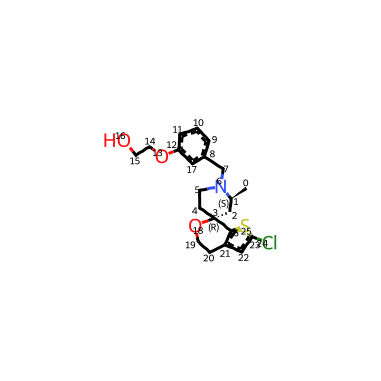 C[C@H]1C[C@@]2(CCN1Cc1cccc(OCCO)c1)OCCc1cc(Cl)sc12